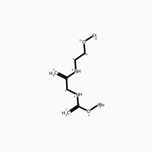 C=C(CNC(=C)OC(C)(C)C)NCCOCC